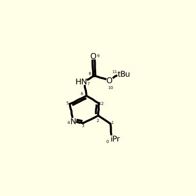 CC(C)Cc1cncc(NC(=O)OC(C)(C)C)c1